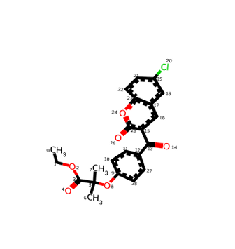 CCOC(=O)C(C)(C)Oc1ccc(C(=O)c2cc3cc(Cl)ccc3oc2=O)cc1